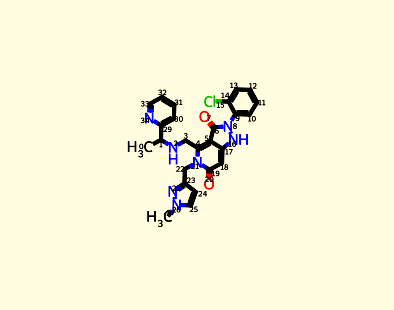 CC(NCc1c2c(=O)n(-c3ccccc3Cl)[nH]c2cc(=O)n1Cc1ccn(C)n1)c1ccccn1